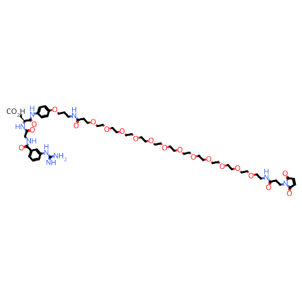 N=C(N)Nc1cccc(C(=O)NCC(=O)N[C@@H](CC(=O)O)C(=O)Nc2ccc(OCCCNC(=O)CCOCCOCCOCCOCCOCCOCCOCCOCCOCCOCCOCCOCCNC(=O)CCN3C(=O)C=CC3=O)cc2)c1